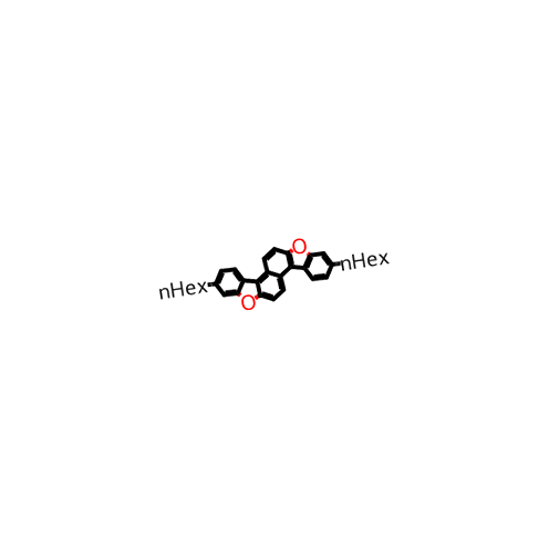 CCCCCCc1ccc2c(c1)oc1ccc3c(ccc4oc5cc(CCCCCC)ccc5c43)c12